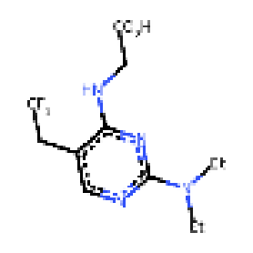 CCN(CC)c1ncc(CC(F)(F)F)c(NCC(=O)O)n1